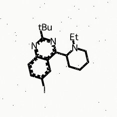 CCN1CCC[CH]C1c1nc(C(C)(C)C)nc2ccc(I)cc12